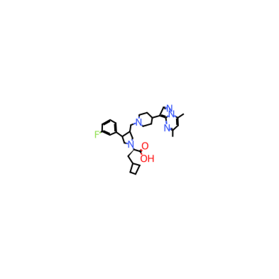 Cc1cc(C)n2ncc(C3CCN(CC4CN([C@H](CC5CCC5)C(=O)O)CC4c4cccc(F)c4)CC3)c2n1